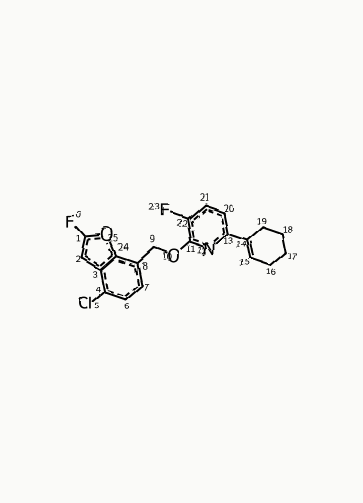 Fc1cc2c(Cl)ccc(COc3nc(C4=CCCCC4)ccc3F)c2o1